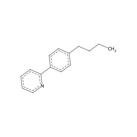 CCCCc1ccc(-c2ccccn2)cc1